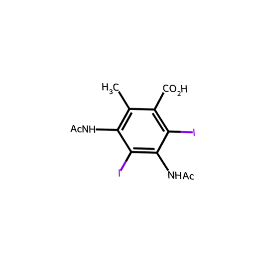 CC(=O)Nc1c(C)c(C(=O)O)c(I)c(NC(C)=O)c1I